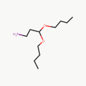 CCCCOC(CCP)OCCCC